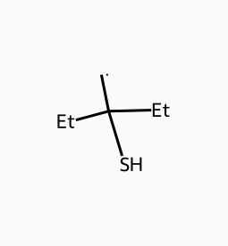 [CH2]C(S)(CC)CC